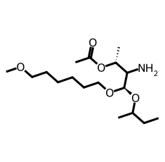 CCC(C)O[C@@H](OCCCCCCOC)C(N)[C@@H](C)OC(C)=O